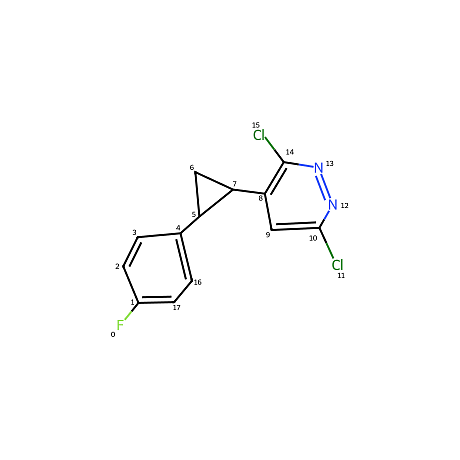 Fc1ccc(C2CC2c2cc(Cl)nnc2Cl)cc1